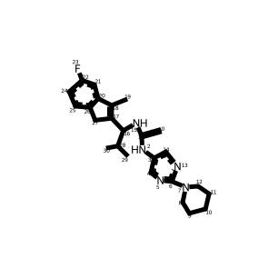 C=C(Nc1cnc(N2CCCCC2)nc1)NC(C1=C(C)c2cc(F)ccc2C1)C(C)C